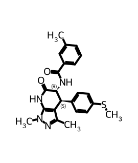 CSc1ccc([C@H]2c3c(C)nn(C)c3NC(=O)[C@@H]2NC(=O)c2cccc(C)c2)cc1